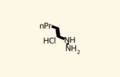 CCCC=CNN.Cl